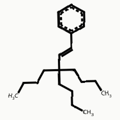 CCCCC(/C=C/c1ccccc1)(CCCC)CCCC